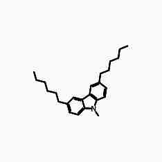 CCCCCCc1ccc2c(c1)c1cc(CCCCCC)ccc1n2C